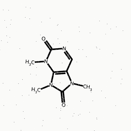 Cn1c(=O)n(C)c2c1cnc(=O)n2C